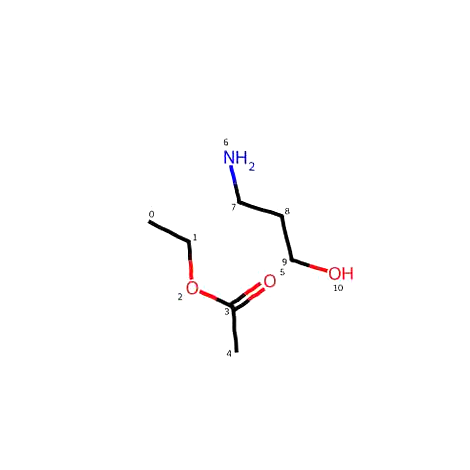 CCOC(C)=O.NCCCO